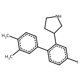 Cc1ccc(-c2ccc(I)cc2C2CCNC2)cc1C